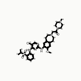 COc1cc2c(cc1Nc1ncc(Cl)c(Nc3ccccc3S(=O)(=O)C(C)C)n1)CCN(CC(=O)N1CCN(C)CC1)CC2